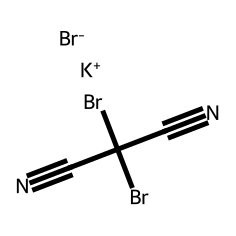 N#CC(Br)(Br)C#N.[Br-].[K+]